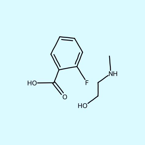 CNCCO.O=C(O)c1ccccc1F